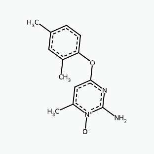 Cc1ccc(Oc2cc(C)[n+]([O-])c(N)n2)c(C)c1